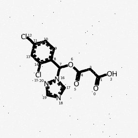 O=C(O)CC(=O)OC(c1ccc(Cl)cc1Cl)n1cncn1